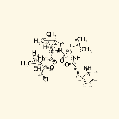 CC(C)C[C@H](NC(=O)c1cc2ccccc2[nH]1)C(=O)N1CC2[C@@H]([C@H]1C(=O)NC(C(=O)CCl)C(C)(C)C)C2(C)C